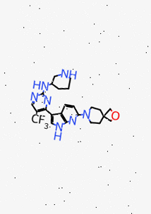 FC(F)(F)c1cnc(NC2CCCNC2)nc1-c1c[nH]c2nc(N3CCC4(CC3)COC4)ccc12